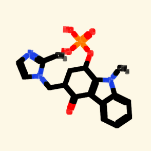 Cc1nccn1CC1CC(OP(=O)(O)O)c2c(c3ccccc3n2C)C1=O